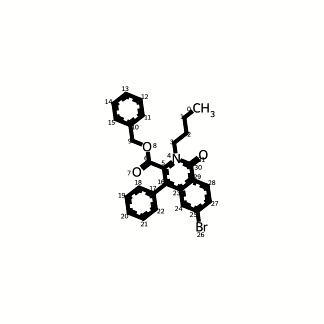 CCCCn1c(C(=O)OCc2ccccc2)c(-c2ccccc2)c2cc(Br)ccc2c1=O